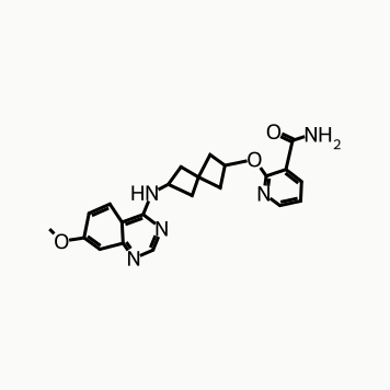 COc1ccc2c(NC3CC4(C3)CC(Oc3ncccc3C(N)=O)C4)ncnc2c1